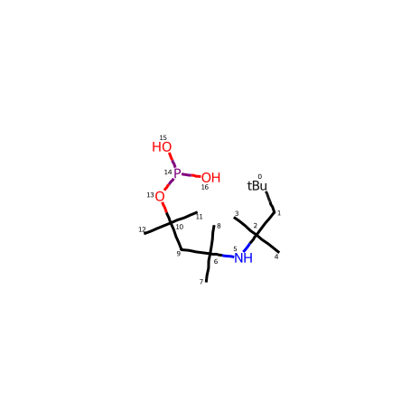 CC(C)(C)CC(C)(C)NC(C)(C)CC(C)(C)OP(O)O